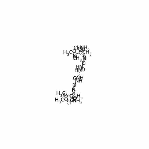 Cc1cc(Cl)cc2c1CN(C)CC2c1cc([C@@H]2CCN(CCOCCNC(=O)NCCCCNC(=O)NCCOCCN3CC[C@@H](c4cc(C5CN(C)Cc6c(C)cc(Cl)cc65)cc(S(N)(=O)=O)c4C)C3)C2)c(C)c(S(N)(=O)=O)c1